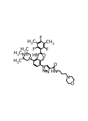 Cc1c(F)c(C)c(F)c(C(=O)Nc2c(N3C[C@@H](C)N(C)[C@@H](C)C3)ccc(-n3cc(C(=O)NCCCN4CCOCC4)nn3)c2F)c1F